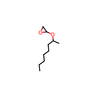 CCCCCCC(C)OC1CO1